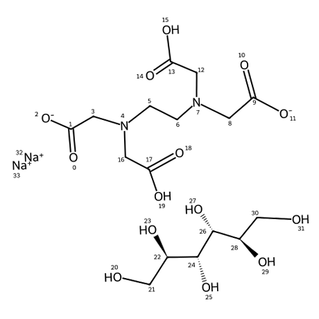 O=C([O-])CN(CCN(CC(=O)[O-])CC(=O)O)CC(=O)O.OC[C@@H](O)[C@@H](O)[C@H](O)[C@H](O)CO.[Na+].[Na+]